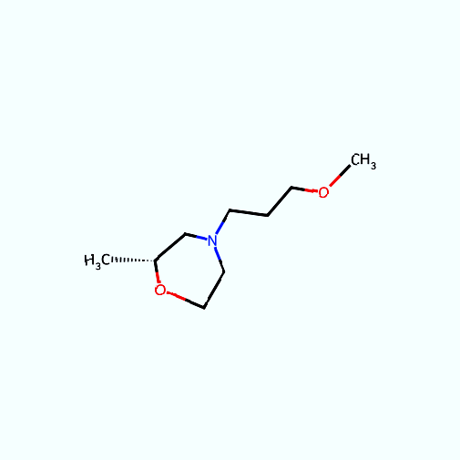 COCCCN1CCO[C@H](C)C1